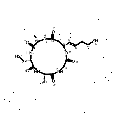 CC(C)[C@H]1NC(=O)[C@H](CS)NC(=O)[C@@H](C)NC(=O)C[C@@H](/C=C/CCS)OC(=O)CNC1=O